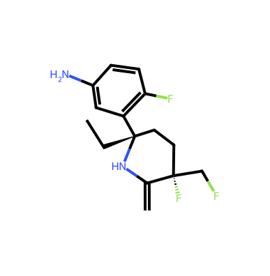 C=C1N[C@](CC)(c2cc(N)ccc2F)CC[C@@]1(F)CF